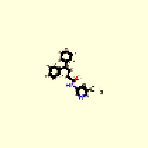 Cc1cncc(NC(=O)CCC(c2ccccc2)c2ccccc2)c1